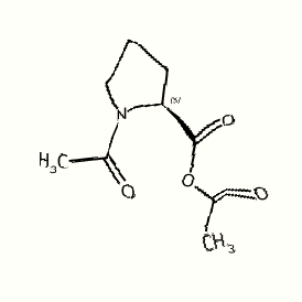 CC(=O)OC(=O)[C@@H]1CCCN1C(C)=O